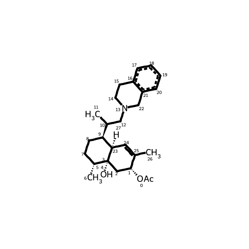 CC(=O)O[C@@H]1[CH][C@@]2(O)[C@H](C)CC[C@@H](C(C)CN3CCc4ccccc4C3)[C@H]2C=C1C